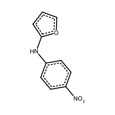 O=[N+]([O-])c1ccc(Nc2ccco2)cc1